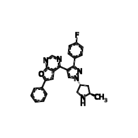 C[C@@H]1C[C@@H](n2cc(-c3ncnc4oc(-c5ccccc5)cc34)c(-c3ccc(F)cc3)n2)CN1